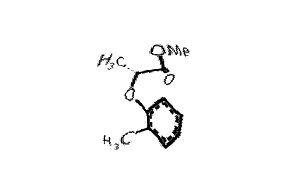 COC(=O)[C@@H](C)Oc1ccccc1C